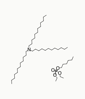 CCCCCCCCCCCCN(CCCCCCCCCCCC)CCCCCCCCCCCC.CCCCCCOP(=O)(OCC)OCC